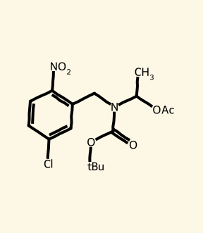 CC(=O)OC(C)N(Cc1cc(Cl)ccc1[N+](=O)[O-])C(=O)OC(C)(C)C